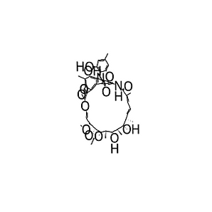 CO[C@H]1/C=C/O[C@@]2(C)Oc3c(C)c(O)c4c(=O)c(c5oc6cc(C)cc(O)c6nc-5c4c3C2=O)NC(=O)/C(C)=C\C=C\[C@H](C)[C@H](O)[C@@H](C)[C@@H](O)[C@@H](C)[C@H](OC(C)=O)[C@@H]1C